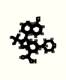 CC(C)(C)c1nc2c(C(=O)O)cc(N3CCOCC3)cc2n1-c1ccnc2c(Cl)cccc12